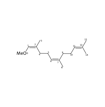 COC=C(C)CCC=C(C)CCC=C(C)C